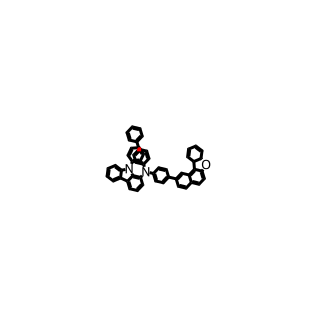 C1=CC2Oc3ccc4ccc(-c5ccc(N(c6ccc(-c7ccccc7)cc6)c6cccc7c8ccccc8n(-c8ccccc8)c67)cc5)cc4c3C2C=C1